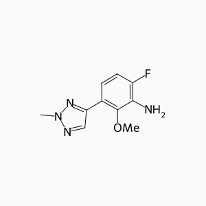 COc1c(-c2cnn(C)n2)ccc(F)c1N